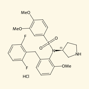 COc1ccc(S(=O)(=O)N(c2c(Cc3c(F)cccc3F)cccc2OC)[C@H]2CCNC2)cc1OC.Cl